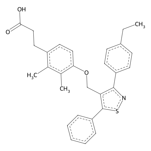 CCc1ccc(-c2nsc(-c3ccccc3)c2COc2ccc(CCC(=O)O)c(C)c2C)cc1